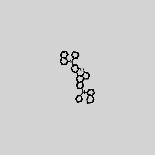 c1ccc(N(c2ccc3c(c2)Oc2cccc4c2c-3cc2ccc(N(c3ccccc3)c3cccc5ccccc35)cc24)c2cccc3ccccc23)cc1